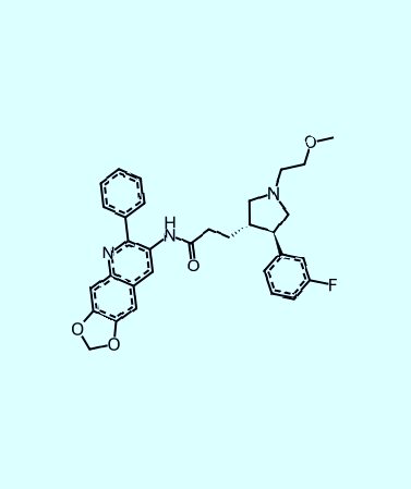 COCCN1C[C@@H](CCC(=O)Nc2cc3cc4c(cc3nc2-c2ccccc2)OCO4)[C@H](c2cccc(F)c2)C1